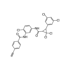 C#Cc1ccc(C(=O)Nc2cc(NC(=O)C3C(c4cc(Cl)cc(Cl)c4)C3(Cl)Cl)ccc2Cl)cc1